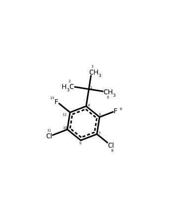 CC(C)(C)c1c(F)c(Cl)cc(Cl)c1F